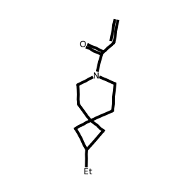 C=CC(=O)N1CCC2(CC1)CC(CC)C2